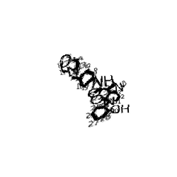 Cn1cc(C(=O)Nc2ccc(CN3CCOCC3)cc2)c2c(=O)n(-c3ccccc3O)ccc21